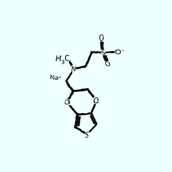 CN(CCS(=O)(=O)[O-])CC1COc2cscc2O1.[Na+]